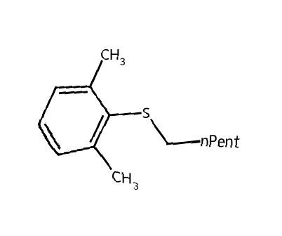 CCCCCCSc1c(C)cccc1C